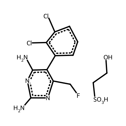 Nc1nc(N)c(-c2cccc(Cl)c2Cl)c(CF)n1.O=S(=O)(O)CCO